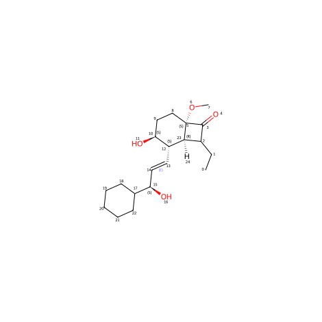 CCC1C(=O)[C@]2(OC)CC[C@H](O)[C@@H](/C=C/[C@@H](O)C3CCCCC3)[C@H]12